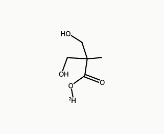 [2H]OC(=O)C(C)(CO)CO